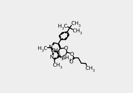 CCCCC(=O)OC(C)O/C(=C(/C=N\C)c1ccc(C(C)(C)C)cc1)c1c(C)c(C)nn1CC